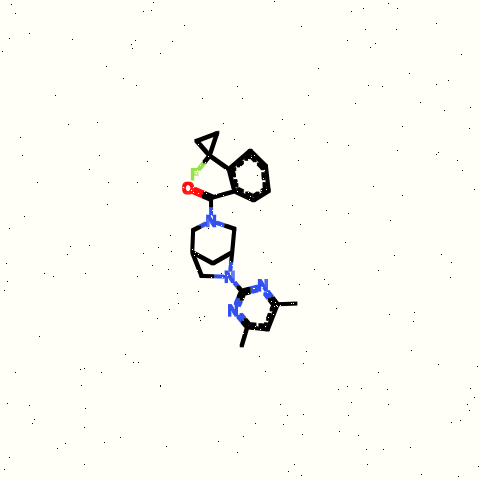 Cc1cc(C)nc(N2CC3CC2CN(C(=O)c2ccccc2C2(F)CC2)C3)n1